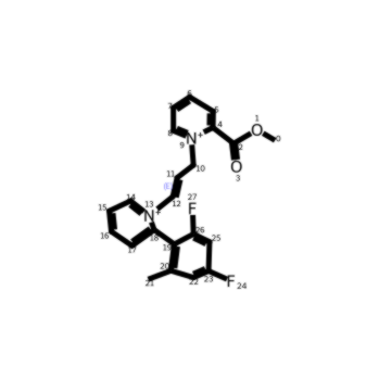 COC(=O)c1cccc[n+]1C/C=C/[n+]1ccccc1-c1c(C)cc(F)cc1F